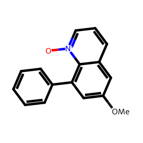 COc1cc(-c2ccccc2)c2c(ccc[n+]2[O-])c1